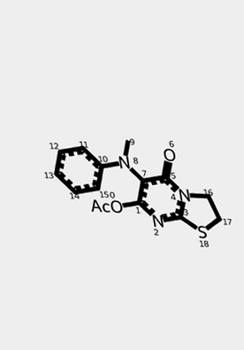 CC(=O)Oc1nc2n(c(=O)c1N(C)c1ccccc1)CCS2